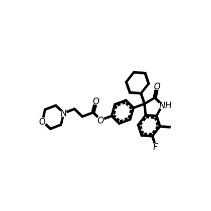 Cc1c(F)ccc2c1NC(=O)C2(c1ccc(OC(=O)CCN2CCOCC2)cc1)C1CCCCC1